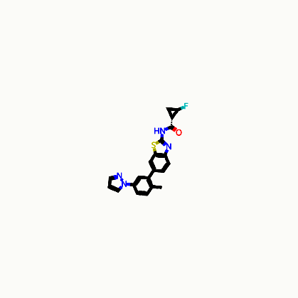 Cc1ccc(-n2cccn2)cc1-c1ccc2nc(NC(=O)[C@@H]3CC3F)sc2c1